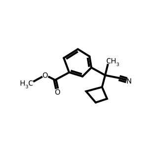 COC(=O)c1cccc(C(C)(C#N)C2CCC2)c1